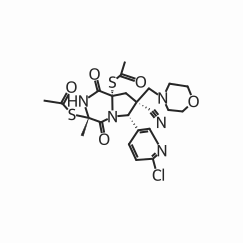 CC(=O)S[C@]1(C)NC(=O)[C@@]2(SC(C)=O)C[C@@](C#N)(CN3CCOCC3)[C@H](c3ccc(Cl)nc3)N2C1=O